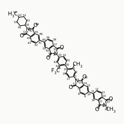 Cc1cc(N2C(=O)c3ccc(-c4ccc5c(c4)C(=O)N(C)C5=O)cc3C2=O)ccc1-c1ccc(N2C(=O)c3ccc(-c4ccc5c(c4)C(=O)N(C4CCC(C)CC4)C5=O)cc3C2=O)cc1C(F)(F)F